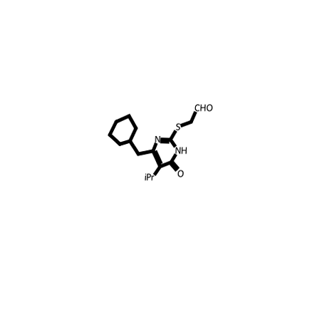 CC(C)c1c(CC2CCCCC2)nc(SCC=O)[nH]c1=O